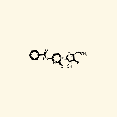 CC[C@H]1O[C@@H](n2ccc(NC(=O)c3ccccc3)nc2=O)[C@@H](O)C1F